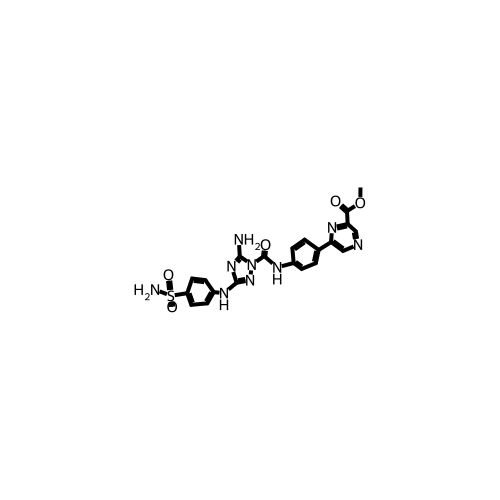 COC(=O)c1cncc(-c2ccc(NC(=O)n3nc(Nc4ccc(S(N)(=O)=O)cc4)nc3N)cc2)n1